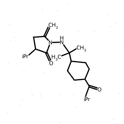 C=C1CC(C(C)C)C(=O)N1NC(C)(C)C1CCC(C(=O)C(C)C)CC1